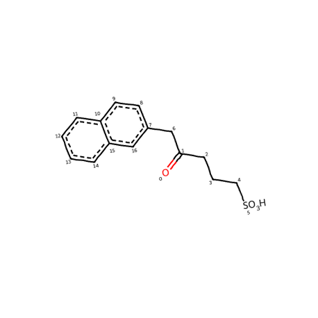 O=C(CCCS(=O)(=O)O)Cc1ccc2ccccc2c1